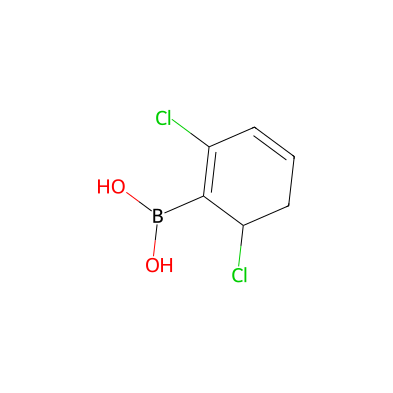 OB(O)C1=C(Cl)C=CCC1Cl